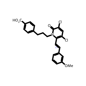 COc1cccc(/C=C/c2c(Cl)cc(Cl)c(=O)n2CCCc2ccc(C(=O)O)cc2)c1